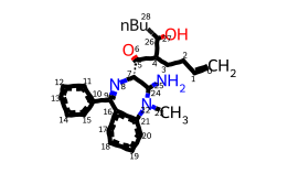 C=CCCC(C(=O)[C@H]1N=C(c2ccccc2)c2ccccc2N(C)C1N)C(O)CCCC